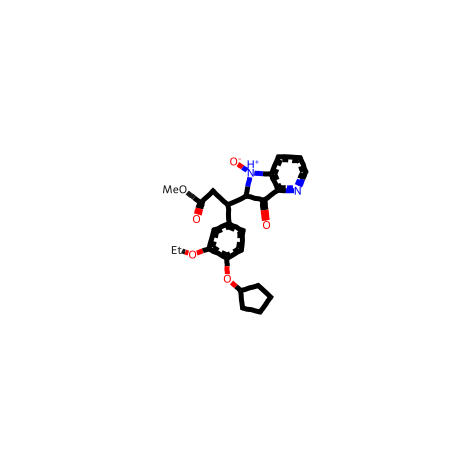 CCOc1cc(C(CC(=O)OC)C2C(=O)c3ncccc3[NH+]2[O-])ccc1OC1CCCC1